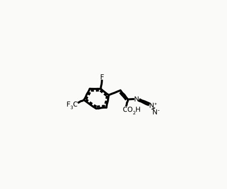 [N-]=[N+]=N/C(=C/c1ccc(C(F)(F)F)cc1F)C(=O)O